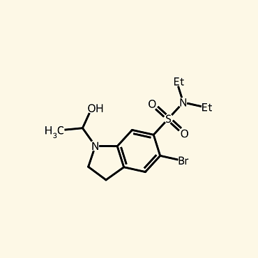 CCN(CC)S(=O)(=O)c1cc2c(cc1Br)CCN2C(C)O